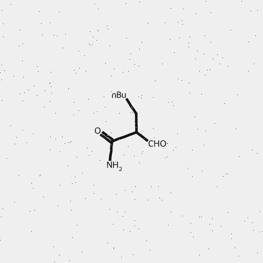 CCCCCC([C]=O)C(N)=O